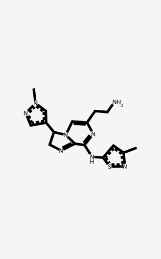 Cc1cc(NC2=NC(CCN)=CN3C2=NCC3c2cnn(C)c2)sn1